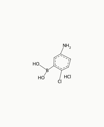 Cl.Nc1ccc(Cl)c(B(O)O)c1